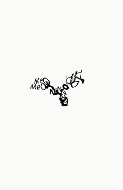 COCC(Cn1ncc2c(N3CC4CCC(C3)O4)nc(-c3ccc(NC(=O)NC4CC4)cc3)nc21)OC